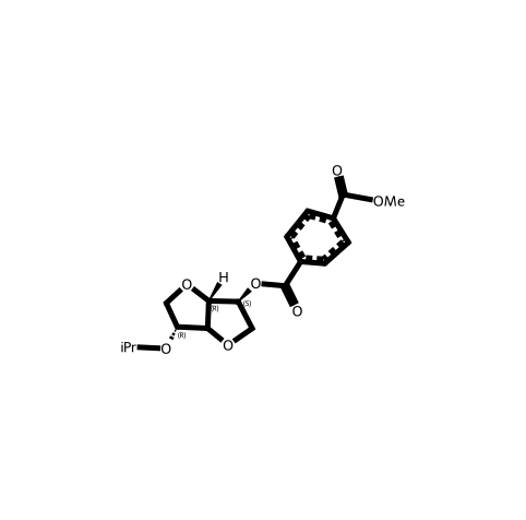 COC(=O)c1ccc(C(=O)O[C@H]2COC3[C@H](OC(C)C)CO[C@@H]32)cc1